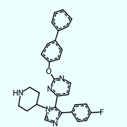 Fc1ccc(-c2ncn(C3CCNCC3)c2-c2ccnc(Oc3ccc(-c4ccccc4)cc3)n2)cc1